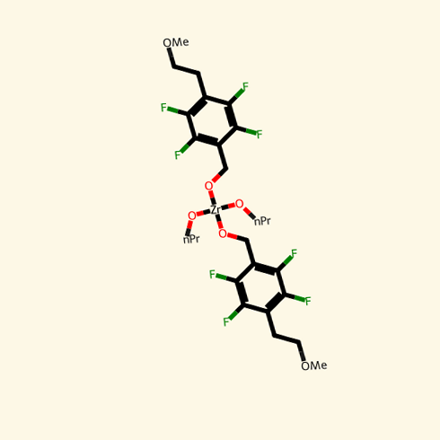 CCC[O][Zr]([O]CCC)([O]Cc1c(F)c(F)c(CCOC)c(F)c1F)[O]Cc1c(F)c(F)c(CCOC)c(F)c1F